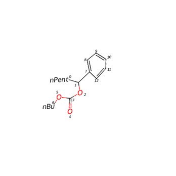 CCCCCC(OC(=O)OCCCC)c1ccccc1